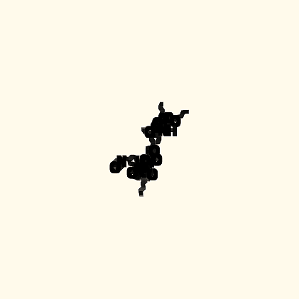 CCCCC[C@@H](C(=O)NCNC(=O)c1ccc(-c2ccc(C(=O)N[C@@H](CC(=O)OCCCC)C(=O)OCCCC)c(OCC)c2)o1)[C@@H](CC)N(C=O)OC(=O)c1ccc(CN2CCOCC2)cc1